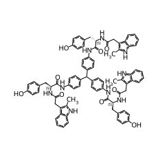 Cc1[nH]c2ccccc2c1CC(=O)N[C@@H](Cc1ccc(O)cc1)C(=O)Nc1ccc(C(c2ccc(NC(=O)[C@H](Cc3ccc(O)cc3)NC(=O)Cc3c(C)[nH]c4ccccc34)cc2)c2ccc(NC(=O)[C@H](Cc3ccc(O)cc3)NC(=O)Cc3c(C)[nH]c4ccccc34)cc2)cc1